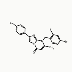 Cc1cc(=O)n2cc(-c3ccc(Cl)cc3)nc2n1Cc1ccc(Br)cc1F